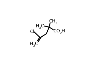 C=C(Cl)CC(C)(C)C(=O)O